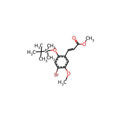 COC(=O)C=Cc1cc(OC)c(Br)cc1O[Si](C)(C)C(C)(C)C